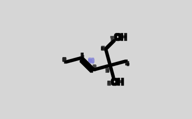 C/C=C/C(C)(O)CO